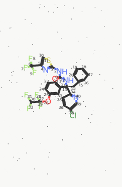 O=C(Nc1nc(C(F)(F)F)cs1)N[C@@](Cc1ccccc1)(c1cccc(OC(F)(F)C(F)F)c1)c1ccc(Cl)cn1